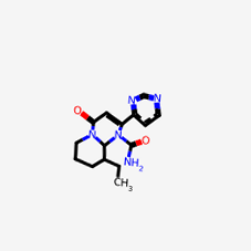 CCC1CCCN2C(=O)C=C(c3ccncn3)N(C(N)=O)C12